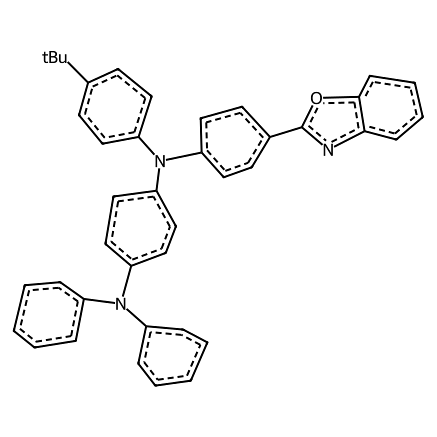 CC(C)(C)c1ccc(N(c2ccc(-c3nc4ccccc4o3)cc2)c2ccc(N(c3ccccc3)c3ccccc3)cc2)cc1